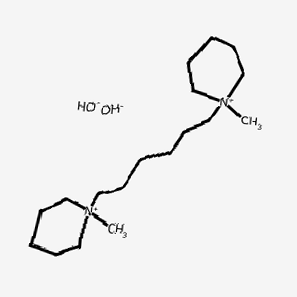 C[N+]1(CCCCCC[N+]2(C)CCCCC2)CCCCC1.[OH-].[OH-]